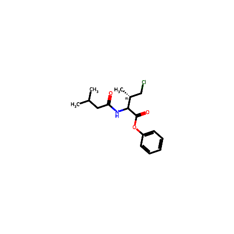 CC(C)CC(=O)NC(C(=O)Oc1ccccc1)[C@H](C)CCl